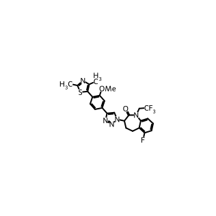 COc1cc(-c2cn(C3CCc4c(F)cccc4N(CC(F)(F)F)C3=O)nn2)ccc1-c1sc(C)nc1C